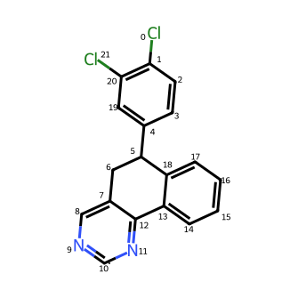 Clc1ccc(C2Cc3cn[c]nc3-c3ccccc32)cc1Cl